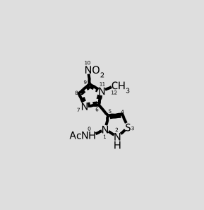 CC(=O)NN1NSC=C1c1ncc([N+](=O)[O-])n1C